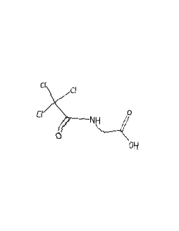 O=C(O)CNC(=O)C(Cl)(Cl)Cl